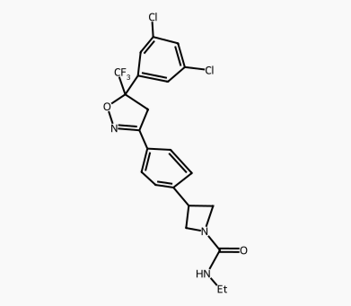 CCNC(=O)N1CC(c2ccc(C3=NOC(c4cc(Cl)cc(Cl)c4)(C(F)(F)F)C3)cc2)C1